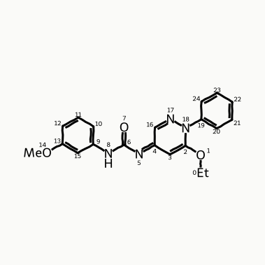 CCOc1cc(=NC(=O)Nc2cccc(OC)c2)cnn1-c1ccccc1